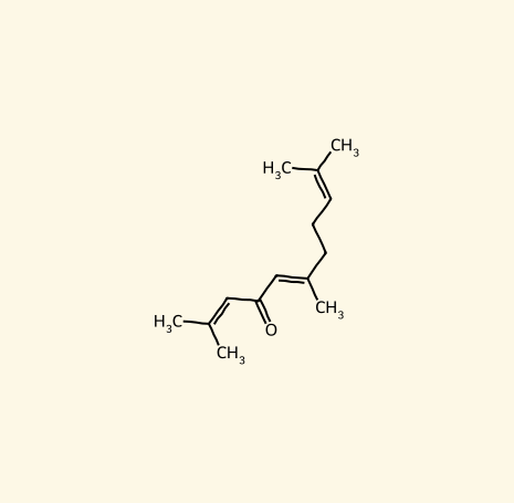 CC(C)=CCCC(C)=CC(=O)C=C(C)C